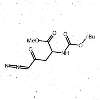 CCCCOC(=O)NC(CC(=O)C=[N+]=[N-])C(=O)OC